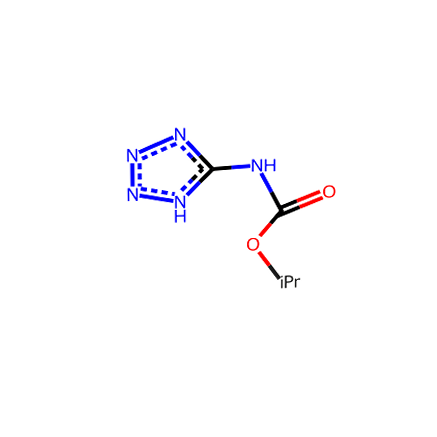 CC(C)OC(=O)Nc1nnn[nH]1